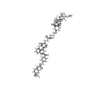 CC(C)CCC[C@@H](C)[C@H]1CC[C@H]2[C@@H]3CC=C4C[C@@H](OCCCNC(=O)CCC(=O)N[C@@H](Cc5ccccc5)C(=O)NCC(=O)Nc5ccc(COC(=O)Oc6ccc([N+](=O)[O-])cc6)cc5)CC[C@]4(C)[C@H]3CC[C@]12C